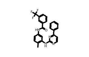 Cc1ccc(NC(=O)c2cccc(C(F)(F)F)c2)cc1Nc1nccc(-c2ccccc2)n1